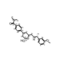 COc1cccc([C@@H](C)NCC2CN(c3ccc(C(=O)N(C)C)cc3)CCO2)c1.Cl